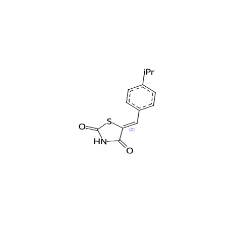 CC(C)c1ccc(/C=C2\SC(=O)NC2=O)cc1